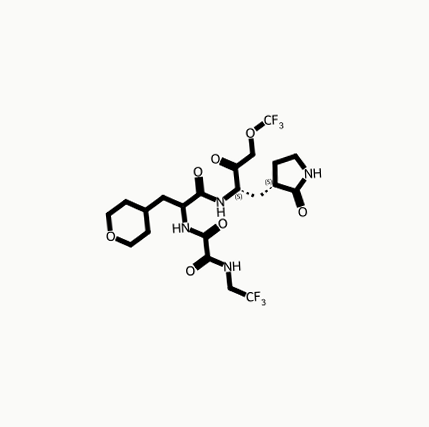 O=C(NCC(F)(F)F)C(=O)NC(CC1CCOCC1)C(=O)N[C@@H](C[C@@H]1CCNC1=O)C(=O)COC(F)(F)F